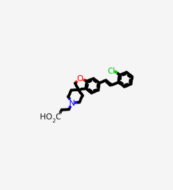 O=C(O)CCN1CCC2(CC1)COc1cc(C=Cc3ccccc3Cl)ccc12